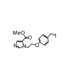 COC(=O)c1cncn1CCOc1ccc(CI)cc1